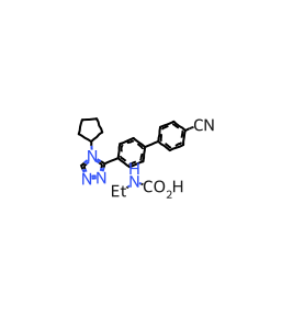 CCNC(=O)O.N#Cc1ccc(-c2ccc(-c3nncn3C3CCCC3)cc2)cc1